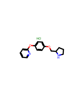 Cl.c1ccc(Oc2ccc(OCC3CCCN3)cc2)nc1